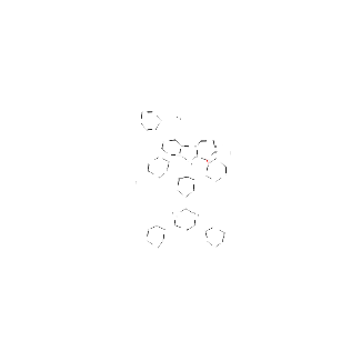 N#Cc1ccccc1-c1ccc2c(c1)c1ccccc1n2-c1c(-c2cccc(C(F)(F)F)c2)cc(-c2nc(-c3ccccc3)cc(-c3ccccc3)n2)cc1-c1cccc(C(F)(F)F)c1